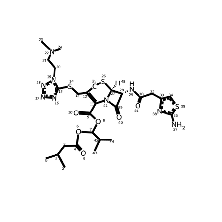 CC(C)CC(=O)OC(OC(=O)C1=C(CSc2nnnn2CCN(C)C)CS[C@H]2[C@H](NC(=O)Cc3csc(N)n3)C(=O)N12)C(C)C